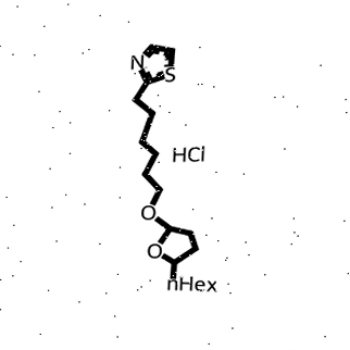 CCCCCCC1CCC(OCCCCCCc2nccs2)O1.Cl